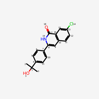 CC(C)(O)c1ccc(-c2cc3ccc(Cl)cc3c(=O)[nH]2)cc1